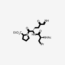 CCOC(=O)C1CCCN1C(=O)[C@H](CCC(=O)C=N)NC(=O)[C@H](CC(C)C)NC(C)=O